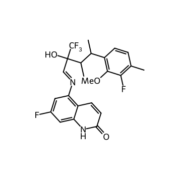 COc1c(C(C)C(C)C(O)(C=Nc2cc(F)cc3[nH]c(=O)ccc23)C(F)(F)F)ccc(C)c1F